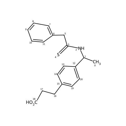 CC(NC(=S)Cc1ccccc1)c1ccc(CCC(=O)O)cc1